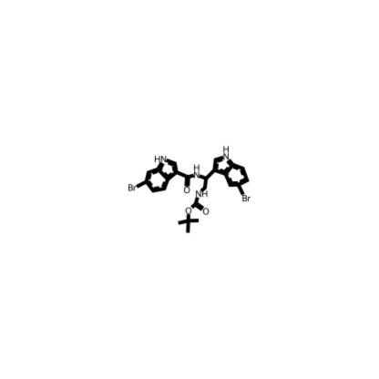 CC(C)(C)OC(=O)NCC(NC(=O)c1c[nH]c2cc(Br)ccc12)c1c[nH]c2ccc(Br)cc12